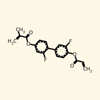 C=CC(=O)Oc1ccc(-c2ccc(OC(=O)C(=C)C)cc2F)cc1F